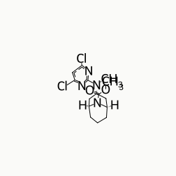 COC(=O)N1[C@@H]2CCC[C@H]1C[C@H](N(C)c1nc(Cl)cc(Cl)n1)C2